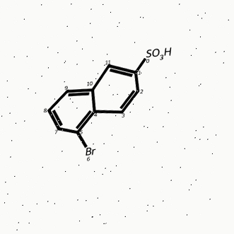 O=S(=O)(O)c1ccc2c(Br)cccc2c1